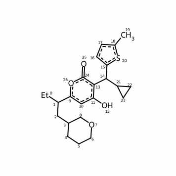 CCC(CC1CCCOC1)c1cc(O)c(C(c2ccc(C)s2)C2CC2)c(=O)o1